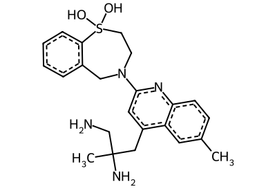 Cc1ccc2nc(N3CCS(O)(O)c4ccccc4C3)cc(CC(C)(N)CN)c2c1